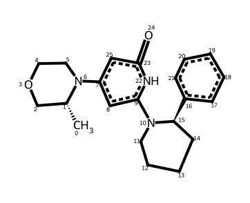 C[C@@H]1COCCN1c1cc(N2CCCC[C@@H]2c2ccccc2)[nH]c(=O)c1